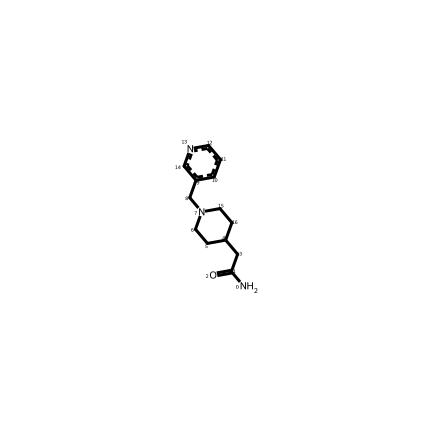 NC(=O)CC1CCN(Cc2cccnc2)CC1